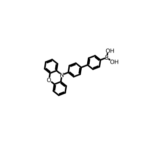 OB(O)c1ccc(-c2ccc(N3c4ccccc4Oc4ccccc43)cc2)cc1